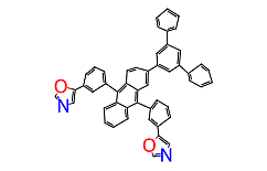 c1ccc(-c2cc(-c3ccccc3)cc(-c3ccc4c(-c5cccc(-c6cnco6)c5)c5ccccc5c(-c5cccc(-c6cnco6)c5)c4c3)c2)cc1